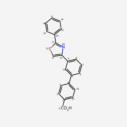 O=C(O)c1ccc(-c2cccc(-c3csc(-c4ccccc4)n3)c2)cc1